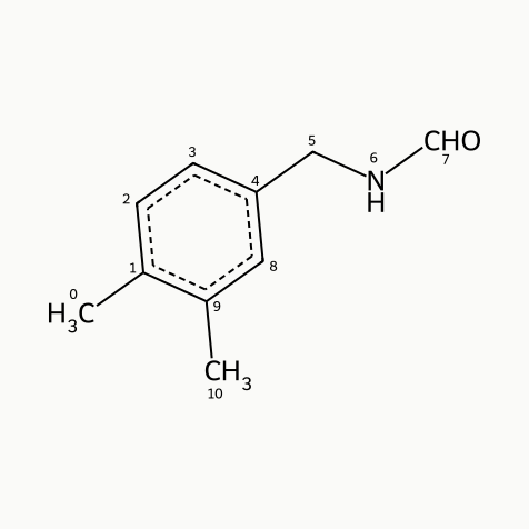 Cc1ccc(CNC=O)cc1C